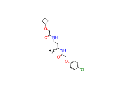 C=C(CCNC(=O)COC1CCC1)NC(=O)COc1ccc(Cl)cc1